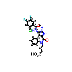 O=C(O)CCCN(C(=O)c1cc(NC(=O)c2cc(F)c(F)cc2Cl)[nH]n1)c1ccccc1